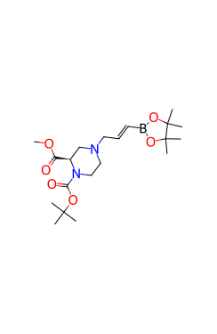 COC(=O)[C@H]1CN(C/C=C/B2OC(C)(C)C(C)(C)O2)CCN1C(=O)OC(C)(C)C